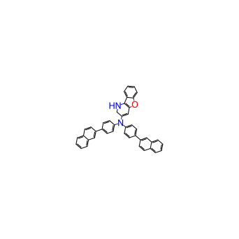 C1=C(N(c2ccc(-c3ccc4ccccc4c3)cc2)c2ccc(-c3ccc4ccccc4c3)cc2)CNc2c1oc1ccccc21